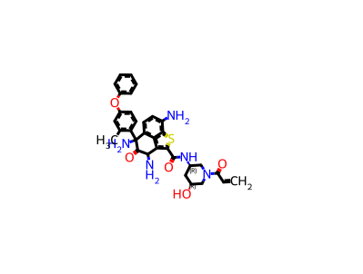 C=CC(=O)N1C[C@H](O)C[C@@H](NC(=O)c2sc3c(N)ccc4c3c2C(N)C(=O)C4(N)c2ccc(Oc3ccccc3)cc2C)C1